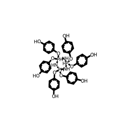 Oc1ccc(O[PH]2(Oc3ccc(O)cc3)N[PH](Oc3ccc(O)cc3)(Oc3ccc(O)cc3)N[PH](Oc3ccc(O)cc3)(Oc3ccc(O)cc3)N2)cc1